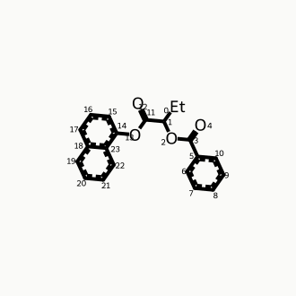 CCC(OC(=O)c1ccccc1)C(=O)Oc1cccc2ccccc12